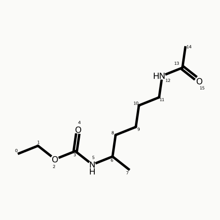 CCOC(=O)NC(C)CCCCNC(C)=O